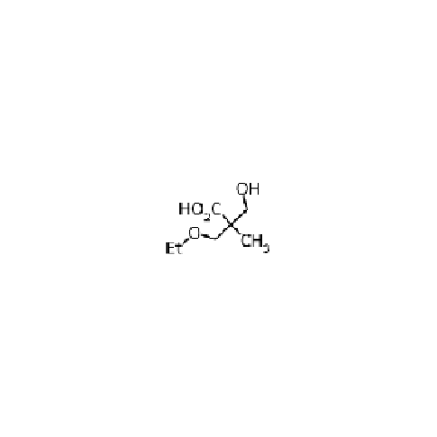 CCOCC(C)(CO)C(=O)O